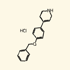 C1=C(c2ccc(OCc3ccccc3)cc2)CCNC1.Cl